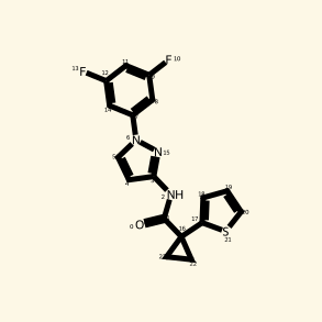 O=C(Nc1ccn(-c2cc(F)cc(F)c2)n1)C1(c2cccs2)CC1